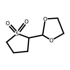 O=S1(=O)CCCC1C1OCCO1